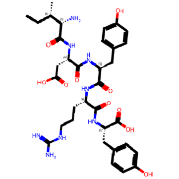 CC[C@H](C)[C@H](N)C(=O)N[C@@H](CC(=O)O)C(=O)N[C@@H](Cc1ccc(O)cc1)C(=O)N[C@@H](CCCNC(=N)N)C(=O)N[C@@H](Cc1ccc(O)cc1)C(=O)O